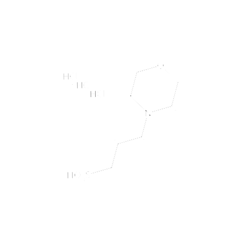 Cl.Cl.Cl.O=S(=O)(O)CCCN1CCOCC1